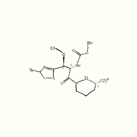 CCO[C@H](C1=NC(Br)CS1)[C@H](NC(=O)OC(C)(C)C)C(=O)N1CCC[C@@H](C(=O)O)N1